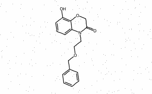 O=C1COc2c(O)cccc2N1CCOCc1ccccc1